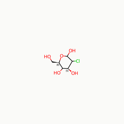 OC[C@H]1OC(O)C(Cl)[C@@H](O)C1O